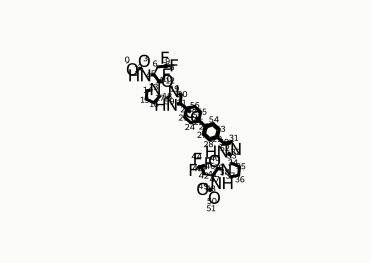 COC(=O)N[C@@H](CC(F)(F)F)C(=O)N1CCC[C@H]1C1=NCC(C23CCC(c4ccc(-c5cnc([C@@H]6CCCN6C(=O)[C@H](CC(F)(F)F)NC(=O)OC)[nH]5)cc4)(CC2)CC3)N1